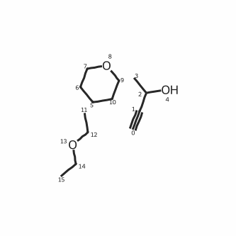 C#CC(C)O.C1CCOCC1.CCOCC